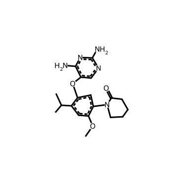 COc1cc(C(C)C)c(Oc2cnc(N)nc2N)cc1N1CCCCC1=O